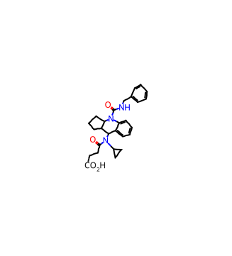 O=C(O)CCC(=O)N(C1CC1)C1c2ccccc2N(C(=O)NCc2ccccc2)C2CCCC21